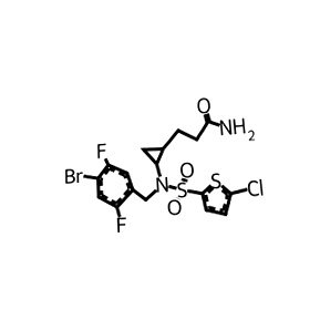 NC(=O)CCC1CC1N(Cc1cc(F)c(Br)cc1F)S(=O)(=O)c1ccc(Cl)s1